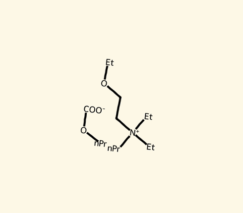 CCCOC(=O)[O-].CCC[N+](CC)(CC)CCOCC